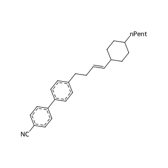 CCCCCC1CCC(C=CCCc2ccc(-c3ccc(C#N)cc3)cc2)CC1